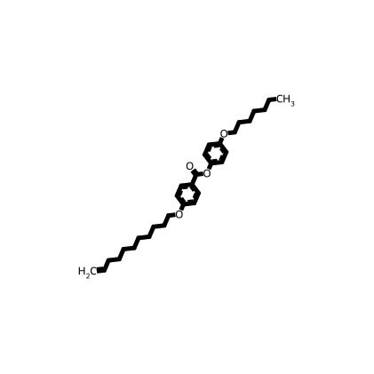 C=CCCCCCCCCCOc1ccc(C(=O)Oc2ccc(OCCCCCCC)cc2)cc1